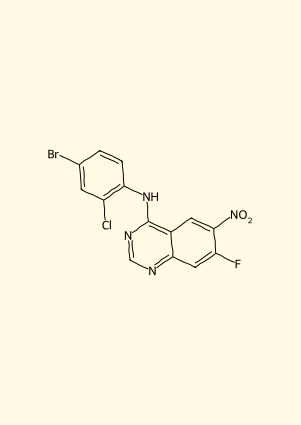 O=[N+]([O-])c1cc2c(Nc3ccc(Br)cc3Cl)ncnc2cc1F